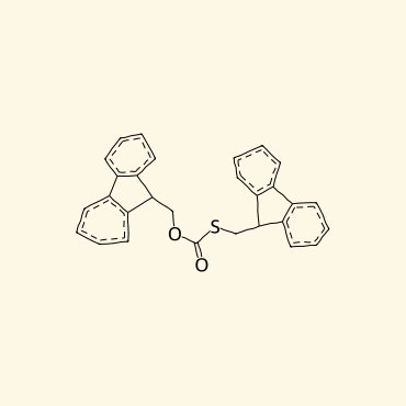 O=C(OCC1c2ccccc2-c2ccccc21)SCC1c2ccccc2-c2ccccc21